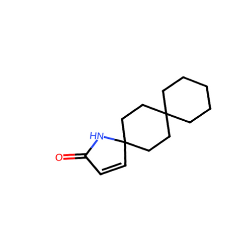 O=C1C=CC2(CCC3(CCCCC3)CC2)N1